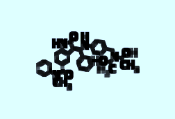 CC(O)N(Cc1ccc(N/C(=C2\C(=O)Nc3ccc(C(=O)N(C)c4ccccc4)cc32)c2ccccc2)cc1)C(C)O